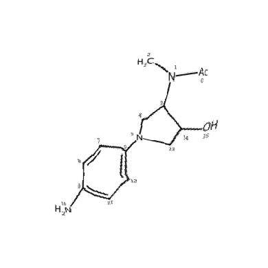 CC(=O)N(C)C1CN(c2ccc(N)cc2)CC1O